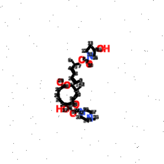 C/C(=C\C=C\[C@@H](C)COC(=O)N1CC[C@@H](O)C1)[C@H]1OC(=O)CCCC[C@](C)(O)[C@H](OC(=O)N2CCN(C)CC2)/C=C/[C@@H]1C